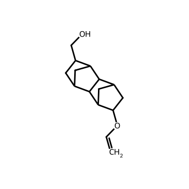 C=COC1CC2CC1C1C3CC(CO)C(C3)C21